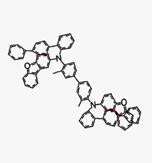 Cc1cc(-c2ccc(N(c3ccc4oc5ccccc5c4c3)c3ccccc3-c3ccc(-c4ccccc4)cc3)c(C)c2)ccc1N(c1ccc2oc3ccccc3c2c1)c1ccccc1-c1ccc(-c2ccccc2)cc1